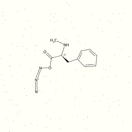 CN[C@@H](Cc1ccccc1)C(=O)ON=[N+]=[N-]